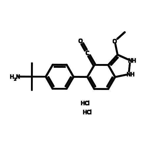 COC1=c2c(ccc(-c3ccc(C(C)(C)N)cc3)c2=C=O)NN1.Cl.Cl